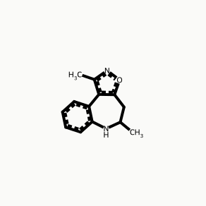 Cc1noc2c1-c1ccccc1NC(C)C2